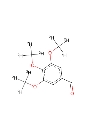 [2H]C([2H])([2H])Oc1cc(C=O)cc(OC([2H])([2H])[2H])c1OC([2H])([2H])[2H]